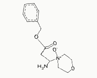 NC(CC(=O)OCc1ccccc1)[N+]1([O-])CCOCC1